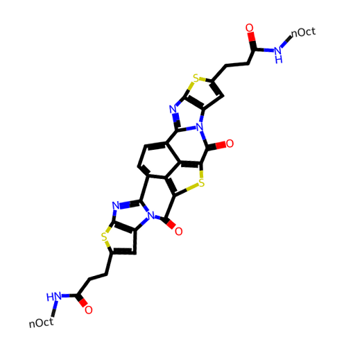 CCCCCCCCNC(=O)CCc1cc2c(nc3c4ccc5c6c(sc(c(=O)n23)c46)c(=O)n2c3cc(CCC(=O)NCCCCCCCC)sc3nc52)s1